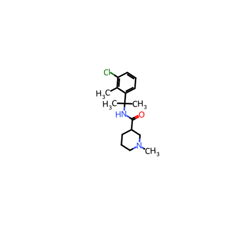 Cc1c(Cl)cccc1C(C)(C)NC(=O)C1CCCN(C)C1